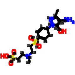 Cc1nn(C2C=CC(S(=O)(=O)CCN(C)CCS(=O)(=O)O)=CC2)c(O)c1N